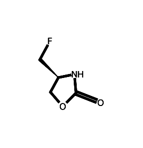 O=C1N[C@H](CF)CO1